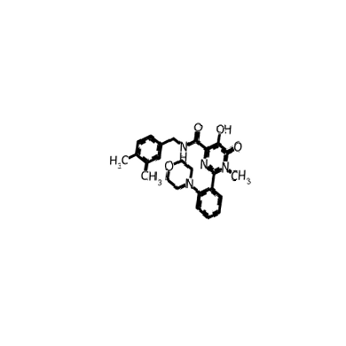 Cc1ccc(CNC(=O)c2nc(-c3ccccc3N3CCOCC3)n(C)c(=O)c2O)cc1C